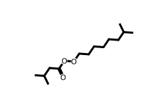 CC(C)CCCCCCOOC(=O)CC(C)C